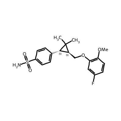 COc1ccc(F)cc1OC[C@H]1[C@H](c2ccc(S(N)(=O)=O)cc2)C1(C)C